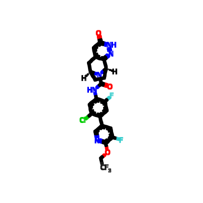 O=C(Nc1cc(Cl)c(-c2cnc(OCC(F)(F)F)c(F)c2)cc1F)N1[C@H]2CC[C@@H]1c1n[nH]c(=O)cc1C2